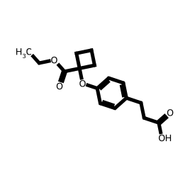 CCOC(=O)C1(Oc2ccc(CCC(=O)O)cc2)CCC1